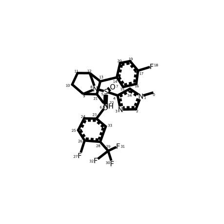 Cn1cnc(S(=O)(=O)N2C3CCC2C(c2ccc(F)cc2)C3Nc2ccc(F)c(C(F)(F)F)c2)c1